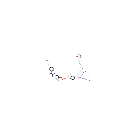 CCc1c2c(nc3ccc(OC(=O)OC(C)(C)C)cc13)-c1cc3c(c(=O)n1C2)COC(=O)[C@@]3(CC)OC(=O)OCc1ccc(NC(=O)C(CCCNC(N)=O)NC(=O)C(NC(=O)CCCCCN2C(=O)C=CC2=O)C(C)C)cc1S(=O)(=O)O